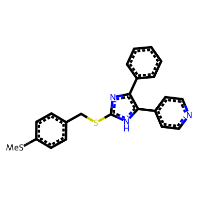 CSc1ccc(CSc2nc(-c3ccccc3)c(-c3ccncc3)[nH]2)cc1